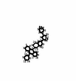 C1=C(c2c3ccccc3c(-c3ccccc3)c3ccccc23)CCc2cc(-c3cncc(-c4ccncc4)c3)ccc21